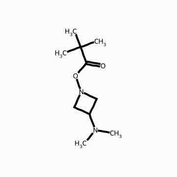 CN(C)C1CN(OC(=O)C(C)(C)C)C1